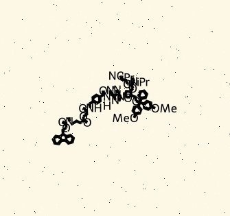 COc1ccc(C(OCC2OC(n3cnc4c(NC(=O)c5ccc(CNC(=O)COC(=O)CCCN(C)C(=O)OCC6c7ccccc7-c7ccccc76)cc5)ncnc43)CC2OP(OCCC#N)N(C(C)C)C(C)C)(c2ccccc2)c2ccc(OC)cc2)cc1